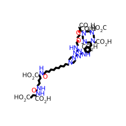 O=C(O)CCOCCOCCNc1nc(Nc2ccc(CC3CN(CC(=O)O)CCN(CC(=O)O)CCN(CC(=O)O)CCN3CC(=O)O)cc2)nc(N2CCN(CCCCCCCCCCC(=O)NC(CCCCNC(=O)N[C@@H](CCC(=O)O)C(=O)O)C(=O)O)CC2)n1